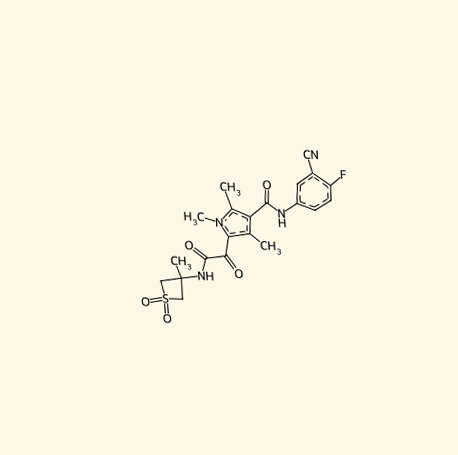 Cc1c(C(=O)Nc2ccc(F)c(C#N)c2)c(C)n(C)c1C(=O)C(=O)NC1(C)CS(=O)(=O)C1